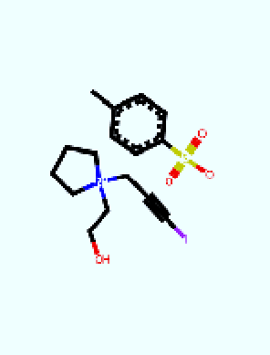 Cc1ccc(S(=O)(=O)[O-])cc1.OCC[N+]1(CC#CI)CCCC1